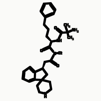 CCN(C(=O)C[C@H]1CC2(CCNCC2)c2ccccc21)C(=O)[C@@H](CCCc1ccccc1)NC(=O)C(C)(C)N